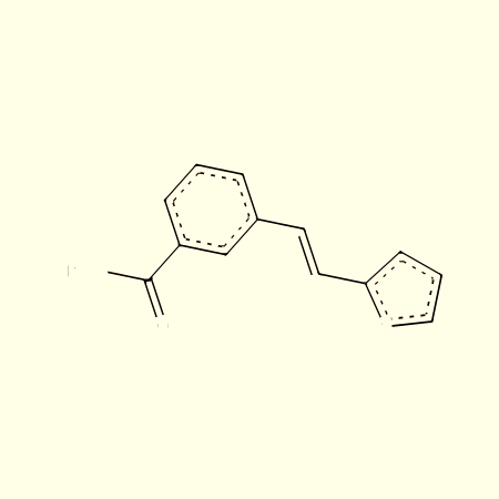 CCCCCC(=O)c1cccc(C=Cc2cccs2)c1